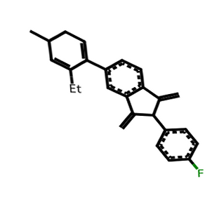 C=C1c2ccc(C3=CCC(C)C=C3CC)cc2C(=C)C1c1ccc(F)cc1